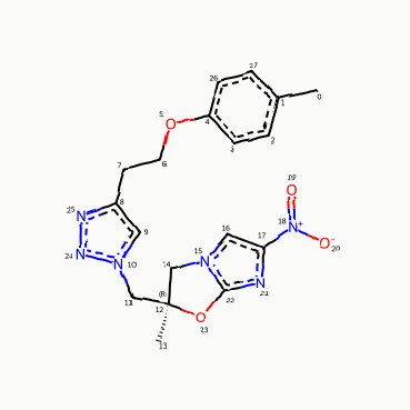 Cc1ccc(OCCc2cn(C[C@@]3(C)Cn4cc([N+](=O)[O-])nc4O3)nn2)cc1